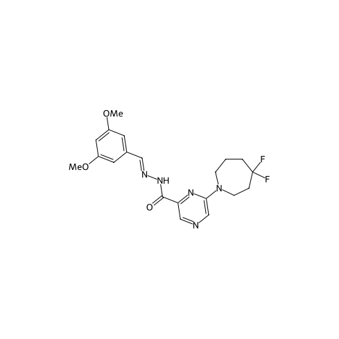 COc1cc(C=NNC(=O)c2cncc(N3CCCC(F)(F)CC3)n2)cc(OC)c1